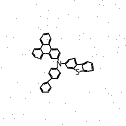 c1ccc(-c2ccc(N(c3ccc4c(c3)sc3ccccc34)c3ccc4c5ccccc5c5ccccc5c4c3)cc2)cc1